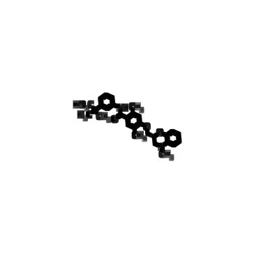 Cc1cc(C(=O)Nc2cccc(C(C)(C)C(=O)O)c2)c(C)cc1OC[C@@H]1CN(C)c2ccccc2O1